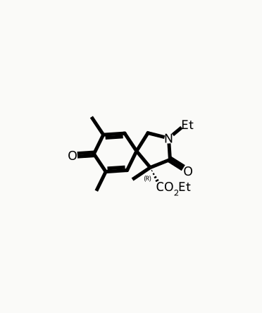 CCOC(=O)[C@@]1(C)C(=O)N(CC)CC12C=C(C)C(=O)C(C)=C2